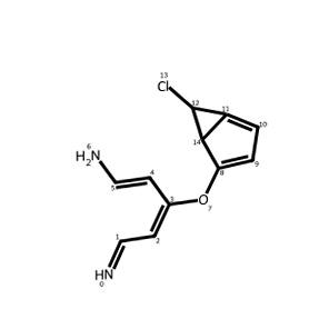 N=C/C=C(\C=C\N)OC1=CC=C2C(Cl)C12